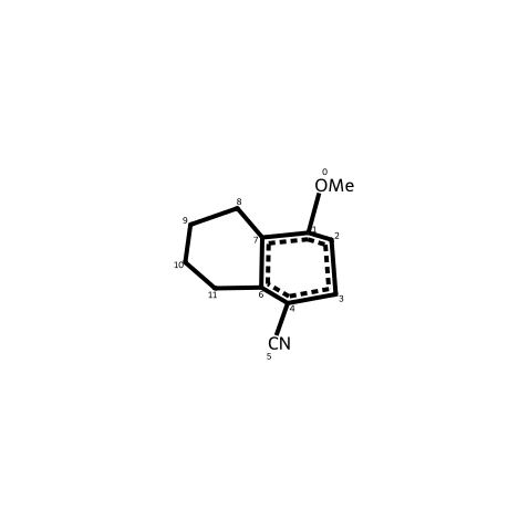 COc1ccc(C#N)c2c1CCCC2